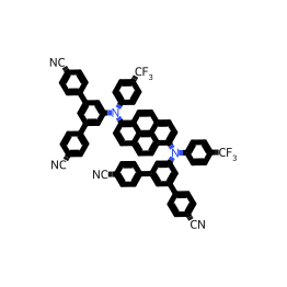 N#Cc1ccc(-c2cc(-c3ccc(C#N)cc3)cc(N(c3ccc(C(F)(F)F)cc3)c3ccc4ccc5c(N(c6ccc(C(F)(F)F)cc6)c6cc(-c7ccc(C#N)cc7)cc(-c7ccc(C#N)cc7)c6)ccc6ccc3c4c65)c2)cc1